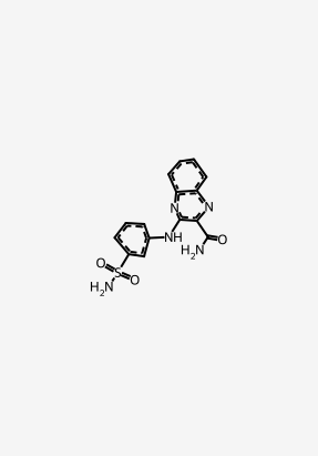 NC(=O)c1nc2ccccc2nc1Nc1cccc(S(N)(=O)=O)c1